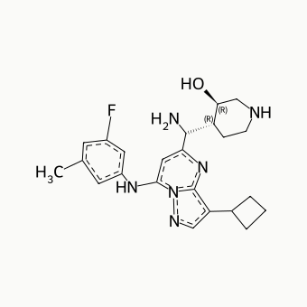 Cc1cc(F)cc(Nc2cc(C(N)[C@H]3CCNC[C@@H]3O)nc3c(C4CCC4)cnn23)c1